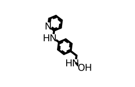 ONCc1ccc(Nc2ccccn2)cc1